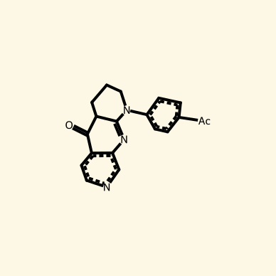 CC(=O)c1ccc(N2CCCC3C(=O)c4ccncc4N=C32)cc1